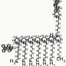 CCCCCCCC[n+]1ccccc1.CCCCCCCC[n+]1ccccc1.CCCCCCCC[n+]1ccccc1.CCCCCCCC[n+]1ccccc1.CCCCCCCC[n+]1ccccc1.CCCCCCCC[n+]1ccccc1.CCCCCCCC[n+]1ccccc1.CCCCCCCC[n+]1ccccc1.[O-]B([O-])F.[O-]B([O-])F.[O-]B([O-])F.[O-]B([O-])F